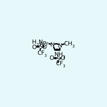 CCCN1C=CN(C)C1.NS(=O)(=O)C(F)(F)F.NS(=O)(=O)C(F)(F)F